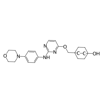 OC12CCC(COc3ccnc(Nc4ccc(N5CCOCC5)cc4)n3)(CC1)CC2